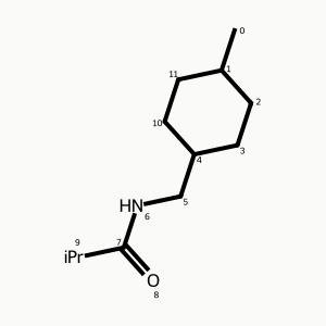 CC1CCC(CNC(=O)C(C)C)CC1